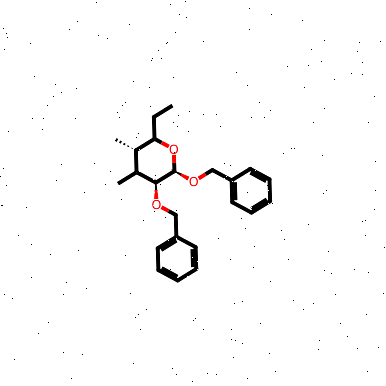 CCC1O[C@@H](OCc2ccccc2)[C@@H](OCc2ccccc2)C(C)[C@@H]1C